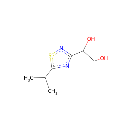 CC(C)c1nc(C(O)CO)ns1